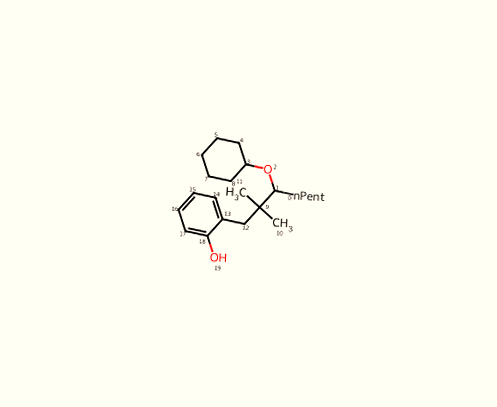 CCCCCC(OC1CCCCC1)C(C)(C)Cc1ccccc1O